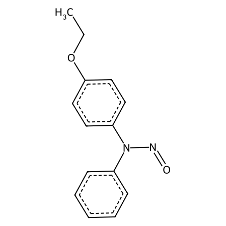 CCOc1ccc(N(N=O)c2ccccc2)cc1